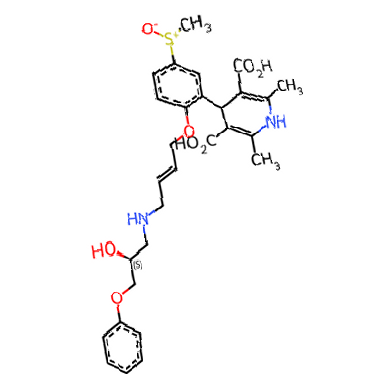 CC1=C(C(=O)O)C(c2cc([S+](C)[O-])ccc2OCC=CCNC[C@H](O)COc2ccccc2)C(C(=O)O)=C(C)N1